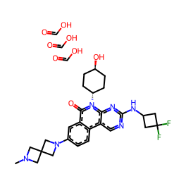 CN1CC2(C1)CN(c1ccc3c(c1)c(=O)n([C@H]1CC[C@H](O)CC1)c1nc(NC4CC(F)(F)C4)ncc31)C2.O=CO.O=CO.O=CO